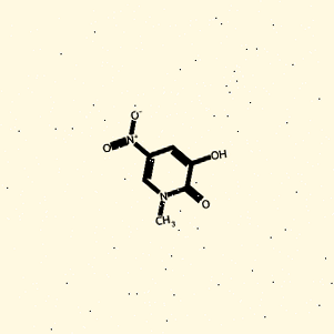 Cn1cc([N+](=O)[O-])cc(O)c1=O